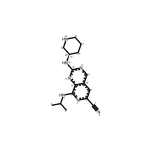 CC(C)Nc1nc(C#N)cc2cnc(N[C@@H]3CCCNC3)nc12